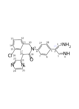 N=C/C(=C\N)c1ccc(N(Cc2cccc(Cl)c2)C(=O)Cc2cnccn2)cc1